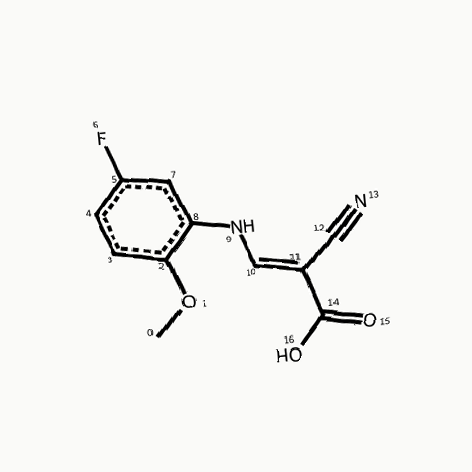 COc1ccc(F)cc1N/C=C(\C#N)C(=O)O